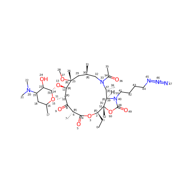 CC[C@H]1OC(=O)[C@H](C)C(=O)[C@H](C)[C@@H](O[C@@H]2OC(C)CC(N(C)C)C2O)[C@](C)(OC)C[C@@H](C)CN(C(C)=O)[C@H](C)[C@H]2N(CCCCN=[N+]=[N-])C(=O)O[C@]12C